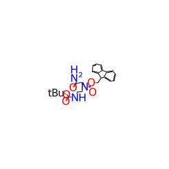 CC(C)(C)OC(=O)NCCN(CC(N)=O)C(=O)OCC1c2ccccc2-c2ccccc21